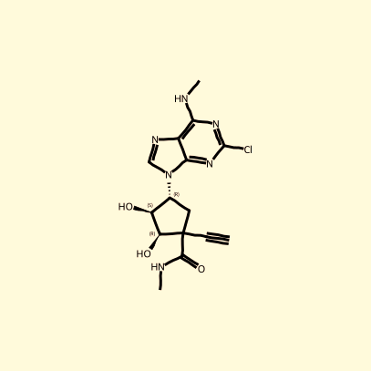 C#CC1(C(=O)NC)C[C@@H](n2cnc3c(NC)nc(Cl)nc32)[C@H](O)[C@@H]1O